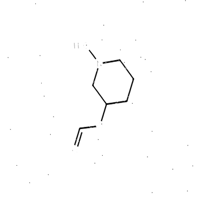 CN1CCCC(OC=O)C1